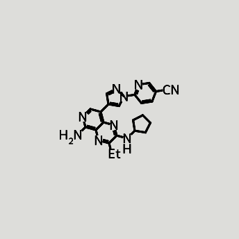 CCc1nc2c(N)ncc(-c3cnn(-c4ccc(C#N)cn4)c3)c2nc1NC1CCCC1